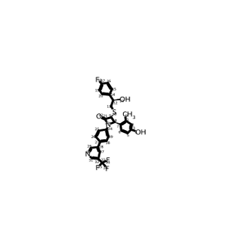 Cc1cc(O)ccc1[C@@H]1[C@@H](SC[C@H](O)c2ccc(F)cc2)C(=O)N1c1ccc(-c2cncc(C(F)(F)F)c2)cc1